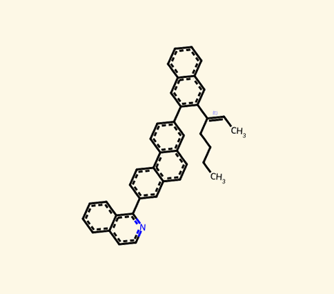 C/C=C(\CCCC)c1cc2ccccc2cc1-c1ccc2c(ccc3cc(-c4nccc5ccccc45)ccc32)c1